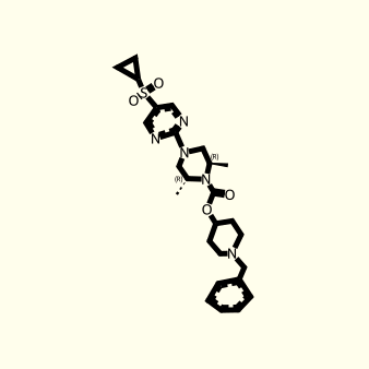 C[C@@H]1CN(c2ncc(S(=O)(=O)C3CC3)cn2)C[C@@H](C)N1C(=O)OC1CCN(Cc2ccccc2)CC1